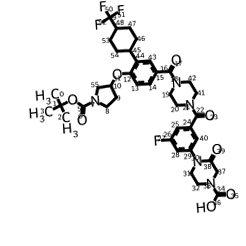 CC(C)(C)OC(=O)N1CCC(Oc2ccc(C(=O)N3CCN(C(=O)c4cc(F)cc(N5CCN(C(=O)O)CC5=O)c4)CC3)cc2C2CCC(C(F)(F)F)CC2)C1